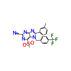 Cc1cccc(-c2nc3nc(C#N)nc(S(C)(=O)=O)c3n2Cc2ccc(C(F)(F)F)cc2)c1